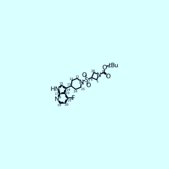 CC(C)(C)OC(=O)N1CC(S(=O)(=O)N2CCC(c3c[nH]c4nccc(F)c34)CC2)C1